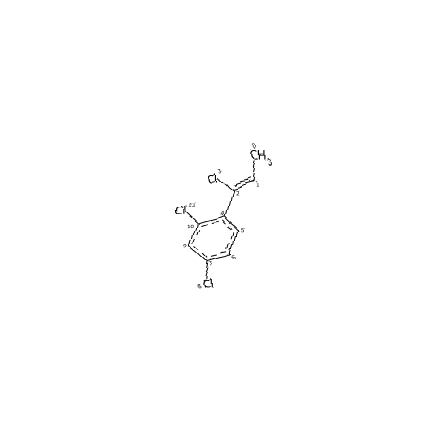 CC=C(Cl)c1ccc(Cl)cc1Cl